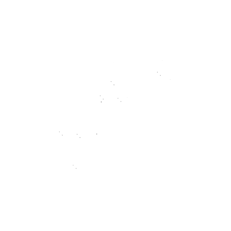 C=N/C(=N\C=C(/C)OCCNS(C)(=O)=O)N[C@H]1CC[C@@H](Oc2nc(N3CCOCC3)cc3ncccc23)CC1